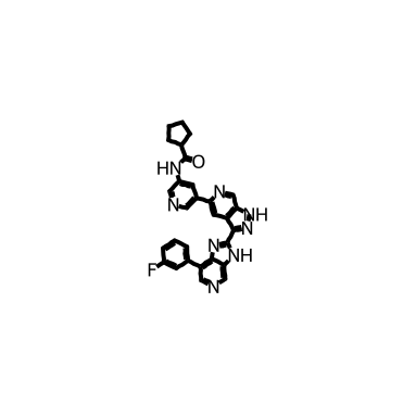 O=C(Nc1cncc(-c2cc3c(-c4nc5c(-c6cccc(F)c6)cncc5[nH]4)n[nH]c3cn2)c1)C1CCCC1